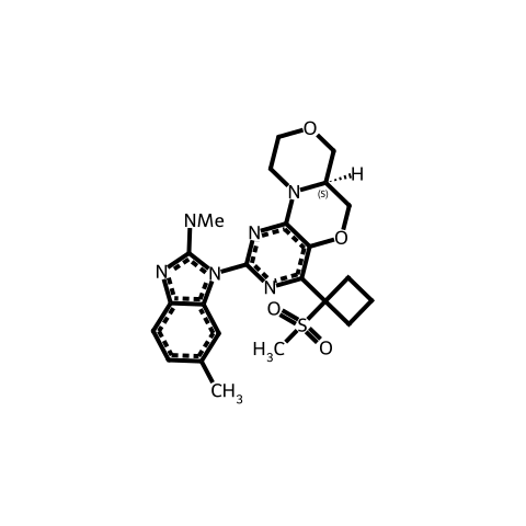 CNc1nc2ccc(C)cc2n1-c1nc2c(c(C3(S(C)(=O)=O)CCC3)n1)OC[C@@H]1COCCN21